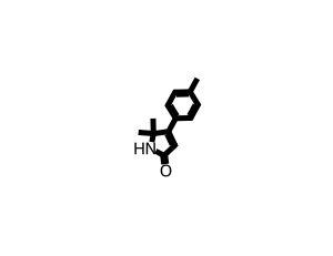 Cc1ccc(C2=CC(=O)NC2(C)C)cc1